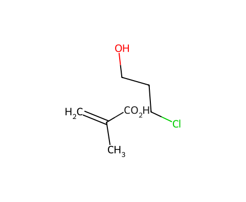 C=C(C)C(=O)O.OCCCCl